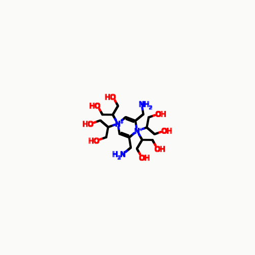 NCC1=C[N+](C(CO)CO)(C(CO)CO)C=C(CN)[N+]1(C(CO)CO)C(CO)CO